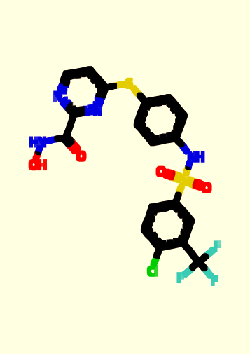 O=C(NO)c1nccc(Sc2ccc(NS(=O)(=O)c3ccc(Cl)c(C(F)(F)F)c3)cc2)n1